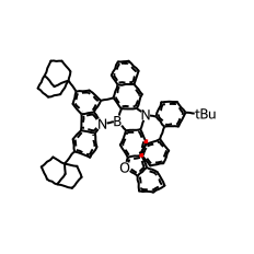 CC(C)(C)c1ccc(N2c3cc4c(cc3B3c5c2cc2ccccc2c5-c2cc(C56CCCC(CCC5)C6)cc5c6cc(C78CCCC(CCC7)C8)ccc6n3c25)oc2ccccc24)c(-c2ccccc2)c1